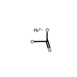 O=C([O-])[O-].[Pb+2]